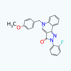 COc1ccc(Cn2cc3c(=O)n(-c4ccccc4F)nc-3c3ccccc32)cc1